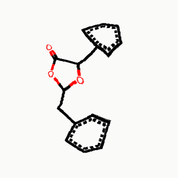 O=C1OC(Cc2ccccc2)OC1c1ccccc1